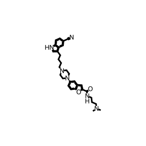 CN(C)CCCNC(=O)c1cc2cc(N3CCN(CCCCc4c[nH]c5ccc(C#N)cc45)CC3)ccc2o1